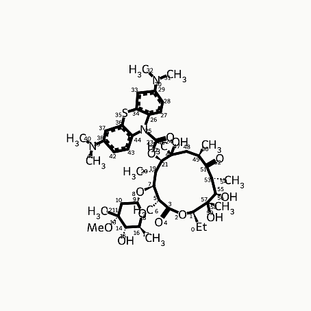 CC[C@H]1OC(=O)[C@H](C)[C@@H](O[C@H]2C[C@@](C)(OC)[C@@H](O)[C@H](C)O2)[C@H](C)[C@@H](OC(=O)N2c3ccc(N(C)C)cc3Sc3cc(N(C)C)ccc32)[C@](C)(O)C[C@@H](C)C(=O)[C@H](C)[C@@H](O)[C@]1(C)O